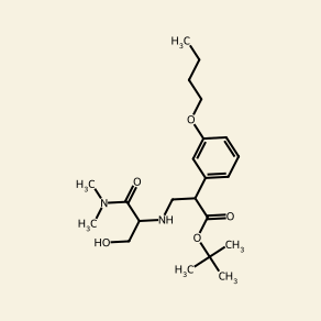 CCCCOc1cccc(C(CNC(CO)C(=O)N(C)C)C(=O)OC(C)(C)C)c1